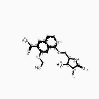 CCOc1cc2c(OCC3NC(=O)[C@@H](F)C3C)nccc2cc1C(N)=O